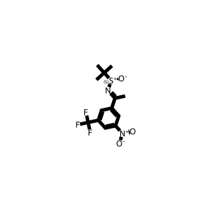 CC(=N[S@+]([O-])C(C)(C)C)c1cc([N+](=O)[O-])cc(C(F)(F)F)c1